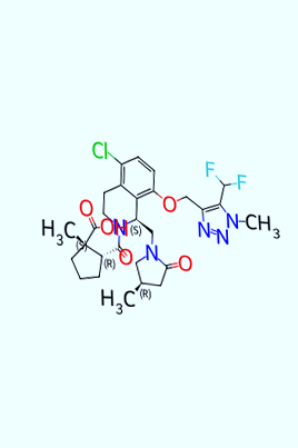 C[C@@H]1CC(=O)N(C[C@@H]2c3c(OCc4nnn(C)c4C(F)F)ccc(Cl)c3CCN2C(=O)[C@@H]2CCC[C@]2(C)C(=O)O)C1